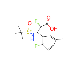 Cc1ccc(F)c([C@H](N[S+]([O-])C(C)(C)C)[C@@H](F)C(=O)O)c1